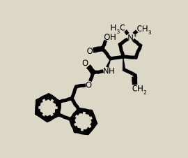 C=CC[C@]1([C@@H](NC(=O)OCC2c3ccccc3-c3ccccc32)C(=O)O)CC[N+](C)(C)C1